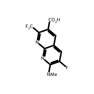 CNc1nc2nc(C(F)(F)F)c(C(=O)O)cc2cc1F